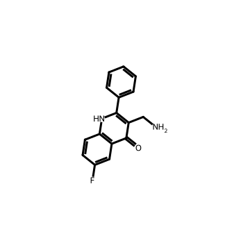 NCc1c(-c2ccccc2)[nH]c2ccc(F)cc2c1=O